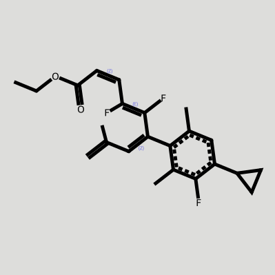 C=C(C)\C=C(/C(F)=C(F)/C=C\C(=O)OCC)c1c(C)cc(C2CC2)c(F)c1C